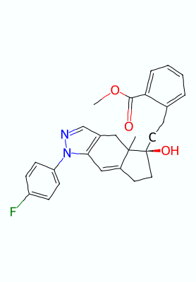 COC(=O)c1ccccc1CC[C@]1(O)CCC2=Cc3c(cnn3-c3ccc(F)cc3)CC21C